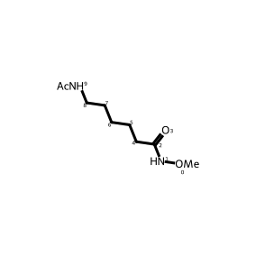 CONC(=O)CCCCCNC(C)=O